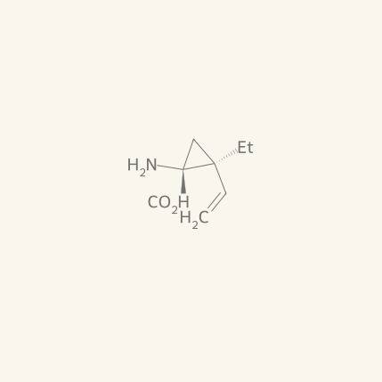 C=C[C@]1(CC)C[C@]1(N)C(=O)O